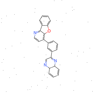 C1=CC2N=CC(c3cccc(-c4ccnc5c4oc4ccccc45)c3)=NC2C=C1